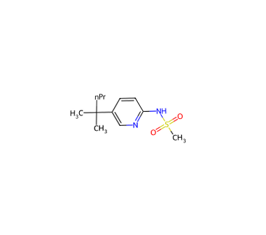 CCCC(C)(C)c1ccc(NS(C)(=O)=O)nc1